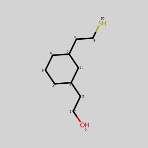 O[C]CC1CCCC(CCS)C1